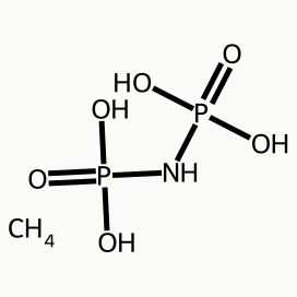 C.O=P(O)(O)NP(=O)(O)O